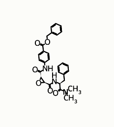 CN(C)C(=O)[C@H](Cc1ccccc1)NC(=O)[C@H]1O[C@@H]1C(=O)Nc1ccc(C(=O)OCc2ccccc2)cc1